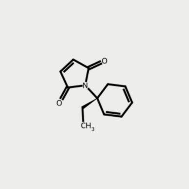 CC[C@]1(N2C(=O)C=CC2=O)C=CC=CC1